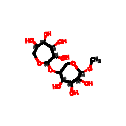 CO[C@H]1OCC(O[C@H]2OC[C@@H](O)[C@@H](O)[C@H](O)[C@@H]2O)[C@@H](O)[C@H](O)[C@@H]1O